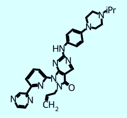 C=CCn1c(=O)c2cnc(Nc3ccc(N4CCN(C(C)C)CC4)cc3)nc2n1-c1cccc(-c2cnccn2)n1